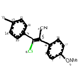 COc1ccc(C(C#N)=C(Cl)c2ccc(C)cc2)cc1